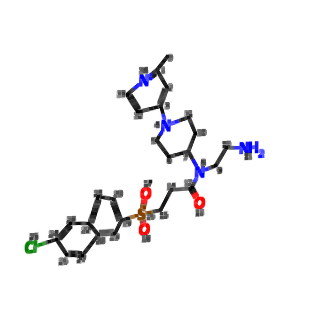 Cc1cc(N2CCC(N(CCN)C(=O)CCS(=O)(=O)c3ccc4cc(Cl)ccc4c3)CC2)ccn1